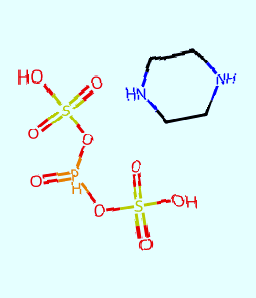 C1CNCCN1.O=[PH](OS(=O)(=O)O)OS(=O)(=O)O